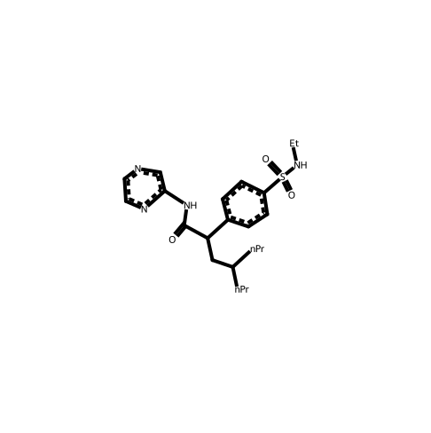 CCCC(CCC)CC(C(=O)Nc1cnccn1)c1ccc(S(=O)(=O)NCC)cc1